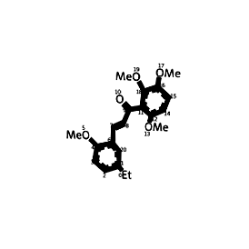 CCc1ccc(OC)c(/C=C/C(=O)c2c(OC)ccc(OC)c2OC)c1